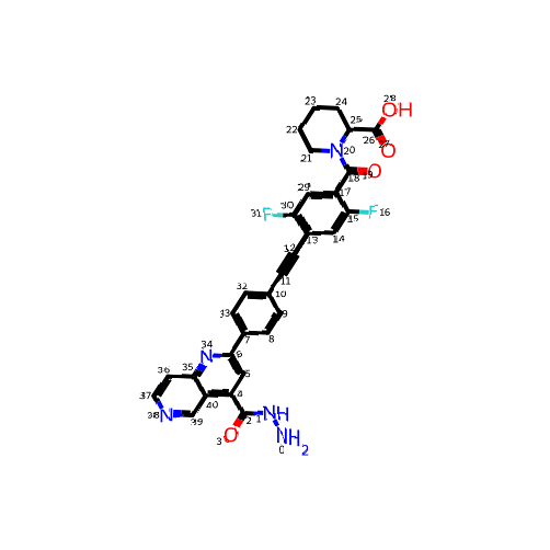 NNC(=O)c1cc(-c2ccc(C#Cc3cc(F)c(C(=O)N4CCCCC4C(=O)O)cc3F)cc2)nc2ccncc12